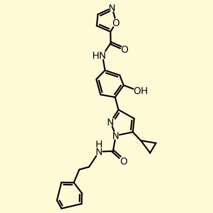 O=C(Nc1ccc(-c2cc(C3CC3)n(C(=O)NCCc3ccccc3)n2)c(O)c1)c1ccno1